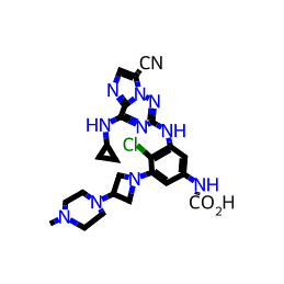 CN1CCN(C2CN(c3cc(NC(=O)O)cc(Nc4nc(NC5CC5)c5ncc(C#N)n5n4)c3Cl)C2)CC1